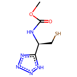 COC(=O)N[C@@H](CS)c1nnn[nH]1